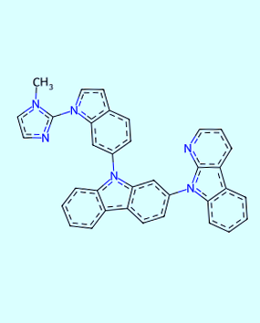 Cn1ccnc1-n1ccc2ccc(-n3c4ccccc4c4ccc(-n5c6ccccc6c6cccnc65)cc43)cc21